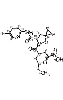 CCCC[C@H](CC(=O)NO)C(=O)N1CC2(CC2)C[C@H]1C(=O)Nc1ccc(F)cn1